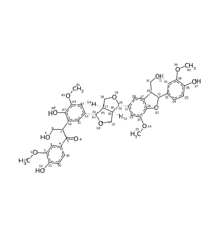 COc1cc(C(=O)C(CO)c2cc([C@H]3OC[C@H]4[C@@H]3CO[C@@H]4c3cc(OC)c4c(c3)C(CO)C(c3ccc(O)c(OC)c3)O4)cc(OC)c2O)ccc1O